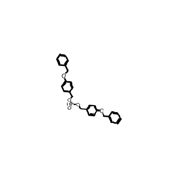 O=[PH](OCc1ccc(OCc2ccccc2)cc1)OCc1ccc(OCc2ccccc2)cc1